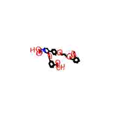 COc1ccccc1COCCCOc1ccc(C2CCN(C(=O)O)CC2OCc2cccc(C(=O)O)c2)cc1